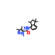 Cc1nn(C)c(C(=O)Nc2cccc3c2C(C)CC3(C)C)c1C